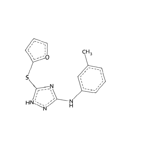 Cc1cccc(Nc2n[nH]c(Sc3ccco3)n2)c1